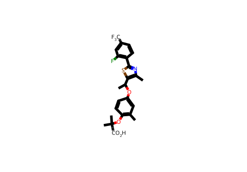 Cc1cc(OC(C)c2sc(-c3ccc(C(F)(F)F)cc3F)nc2C)ccc1OC(C)(C)C(=O)O